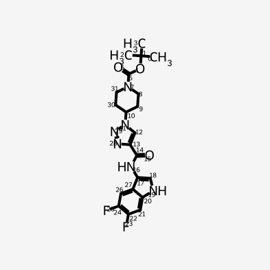 CC(C)(C)OC(=O)N1CCC(n2cc(C(=O)Nc3c[nH]c4cc(F)c(F)cc34)nn2)CC1